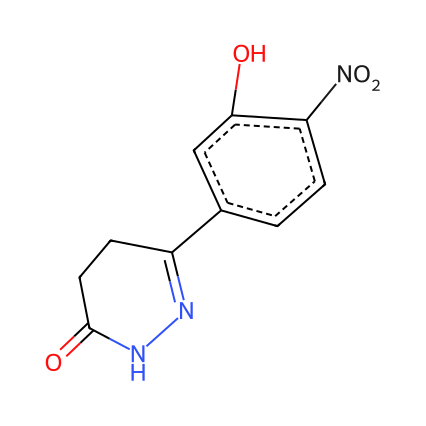 O=C1CCC(c2ccc([N+](=O)[O-])c(O)c2)=NN1